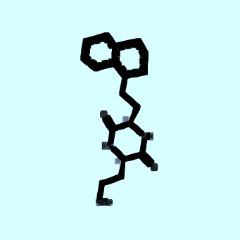 CSCC[C@H]1NC(=O)[C@@H](CCc2cccc3ccccc23)NC1=O